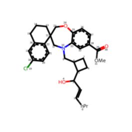 CCC/C=C/C(O)C1CCC1CN1CC2(CCCc3cc(Cl)ccc32)COc2ccc(C(=O)OC)cc21